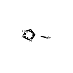 CCCC.c1c[nH]nn1